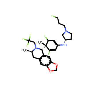 C[C@@H]1Cc2cc3c(cc2[C@@H](C2(C)C(F)=CC(N[C@H]4CCN(CCCF)C4)=CC2F)N1CC(F)(F)F)OCO3